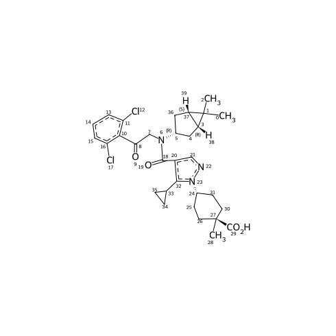 CC1(C)[C@@H]2C[C@H](N(CC(=O)c3c(Cl)cccc3Cl)C(=O)c3cnn([C@H]4CC[C@](C)(C(=O)O)CC4)c3C3CC3)C[C@@H]21